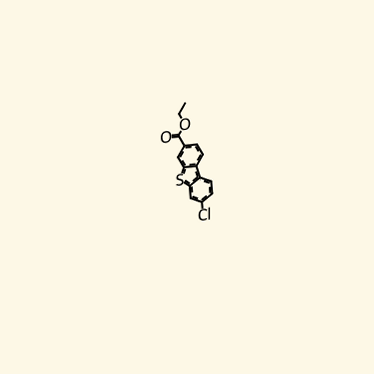 CCOC(=O)c1ccc2c(c1)sc1cc(Cl)ccc12